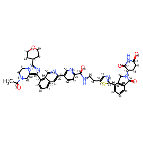 CC(=O)N1CCn2c(C3CCOCC3)nc(-c3cccc4cc(-c5ccc(C(=O)NCCc6cnc(-c7cccc8c7CN(C7CCC(=O)NC7=O)C8=O)s6)nc5)ncc34)c2C1